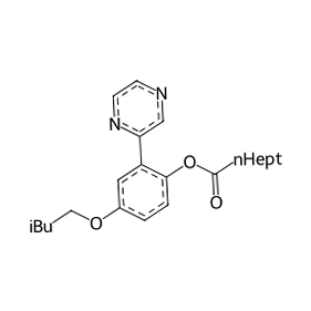 CCCCCCCC(=O)Oc1ccc(OCC(C)CC)cc1-c1cnccn1